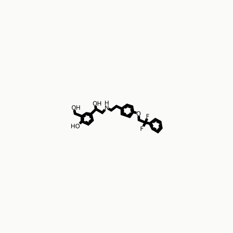 OCc1cc(C(O)CNCCc2ccc(OCC(F)(F)c3ccccc3)cc2)ccc1O